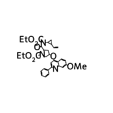 C=CC1CC1N(C(=O)OCC)C(=O)C1CC(Oc2cc(-c3ccccc3)nc3cc(OC)ccc23)CN1C(=O)OCC